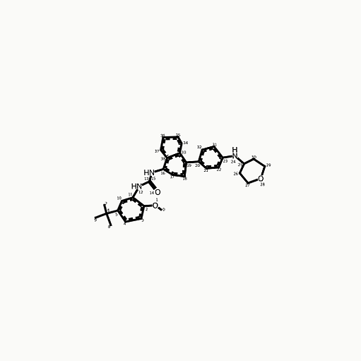 COc1ccc(C(C)(C)C)cc1NC(=O)Nc1ccc(-c2ccc(NC3CCOCC3)cc2)c2ccccc12